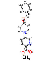 COC(=O)c1ccc(N2CCC(OCc3ccccc3)CC2)cn1